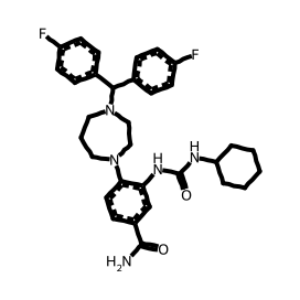 NC(=O)c1ccc(N2CCCN(C(c3ccc(F)cc3)c3ccc(F)cc3)CC2)c(NC(=O)NC2CCCCC2)c1